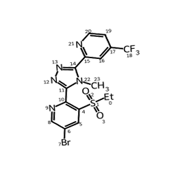 CCS(=O)(=O)c1cc(Br)cnc1-c1nnc(-c2cc(C(F)(F)F)ccn2)n1C